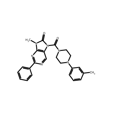 Cc1cccc(N2CCN(C(=O)n3c(=O)n(C)c4nc(-c5ccccc5)ncc43)CC2)c1